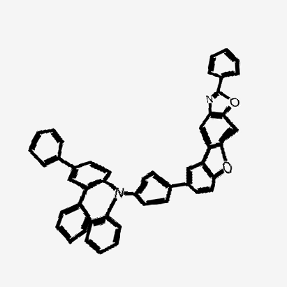 c1ccc(-c2ccc(N(c3ccccc3)c3ccc(-c4ccc5oc6cc7oc(-c8ccccc8)nc7cc6c5c4)cc3)c(-c3ccccc3)c2)cc1